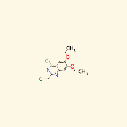 CCOc1cc2nc(CCl)nc(Cl)c2cc1OCC